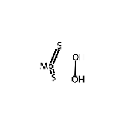 OO.[S]=[Mo]=[S]